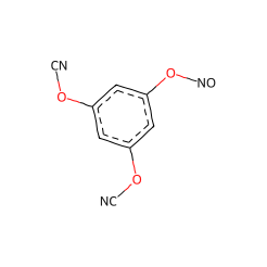 N#COc1cc(OC#N)cc(ON=O)c1